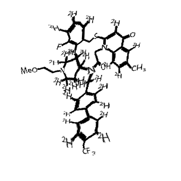 [2H]c1c([2H])c(F)c(F)c(CSc2c([2H])c(=O)c3c([2H])c(C)c([2H])c([2H])c3n2CC(=O)N(C([2H])([2H])c2c([2H])c([2H])c(-c3c([2H])c([2H])c(C(F)(F)F)c([2H])c3[2H])c([2H])c2[2H])C2([2H])C([2H])([2H])C([2H])([2H])N(CCOC)C([2H])([2H])C2([2H])[2H])c1[2H]